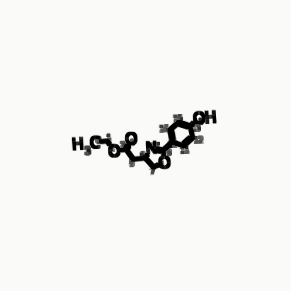 CCOC(=O)CC1COC(c2ccc(O)cc2)=N1